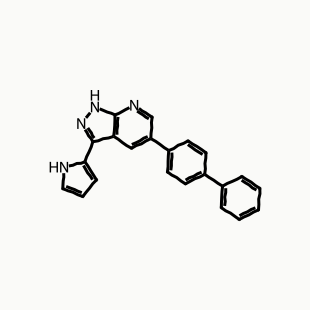 c1ccc(-c2ccc(-c3cnc4[nH]nc(-c5ccc[nH]5)c4c3)cc2)cc1